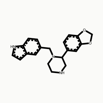 c1cc2cc(CN3CCNCC3c3ccc4c(c3)OCO4)ccc2[nH]1